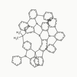 CC(C)(C)c1cc2c3c(c1)N(c1c(-c4ccccc4)cccc1-c1ccccc1)c1cc4c5cc1B3c1cc(ccc1N2c1c(-c2ccccc2)cccc1-c1ccccc1)C(C)(C)c1ccc2c(c1)N(c1ccccc1)c1ccccc1C52c1ccccc1-4